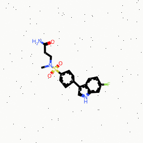 CN(CCC(N)=O)S(=O)(=O)c1ccc(-c2c[nH]c3cc(F)ccc23)cc1